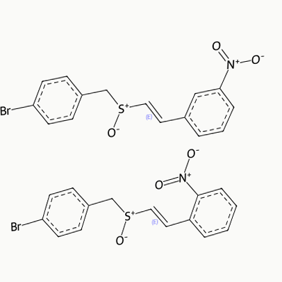 O=[N+]([O-])c1cccc(/C=C/[S+]([O-])Cc2ccc(Br)cc2)c1.O=[N+]([O-])c1ccccc1/C=C/[S+]([O-])Cc1ccc(Br)cc1